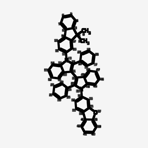 CC1(C)c2ccccc2-c2ccc(-n3c(-c4ccccc4)c(-c4c(-c5ccccc5)n(-c5ccc6c(c5)oc5ccccc56)c5ccccc45)c4ccccc43)cc21